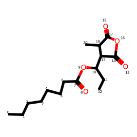 CCCCCCCC(=O)OC(CC)C1C(=O)OC(=O)C1C